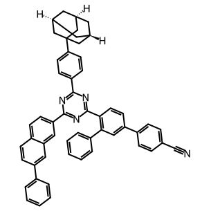 N#Cc1ccc(-c2ccc(-c3nc(-c4ccc(C56C[C@H]7C[C@H](C5)C[C@@H](C6)C7)cc4)nc(-c4ccc5ccc(-c6ccccc6)cc5c4)n3)c(-c3ccccc3)c2)cc1